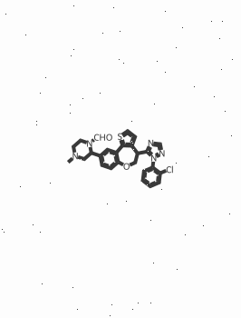 CN1CCN(C=O)C(c2ccc3c(c2)-c2sccc2C(c2ncnn2-c2ccccc2Cl)CO3)C1